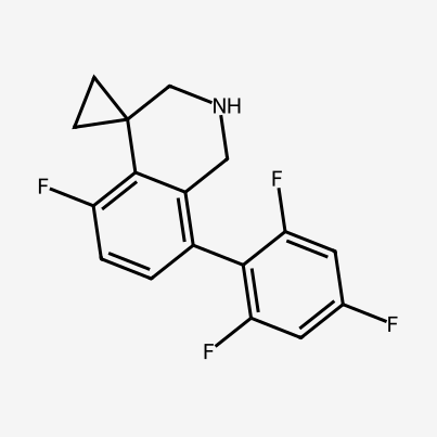 Fc1cc(F)c(-c2ccc(F)c3c2CNCC32CC2)c(F)c1